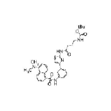 CN(C)c1cccc2c(S(=O)(=O)Nc3cccc(-c4csc(NC(=O)CCCNC(=O)OC(C)(C)C)n4)c3)cccc12